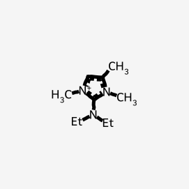 CCN(CC)c1n(C)c(C)c[n+]1C